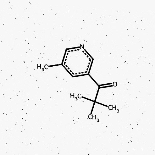 Cc1cncc(C(=O)C(C)(C)C)c1